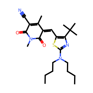 CCCCN(CCCC)c1nc(C(C)(C)C)c(/C=C2\C(=O)N(C)C(=O)C(C#N)=C2C)s1